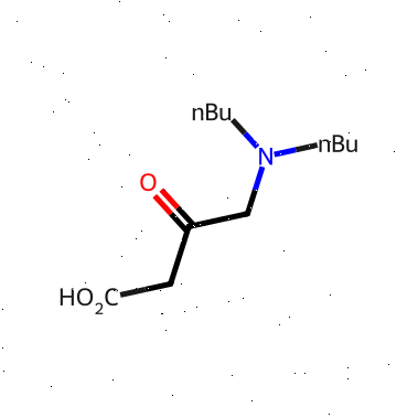 CCCCN(CCCC)CC(=O)CC(=O)O